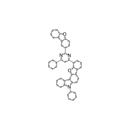 c1ccc(-c2cc(-c3cccc4c3oc3c4ccc4c3c3ccccc3n4-c3ccccc3)nc(-c3ccc4oc5ccccc5c4c3)n2)cc1